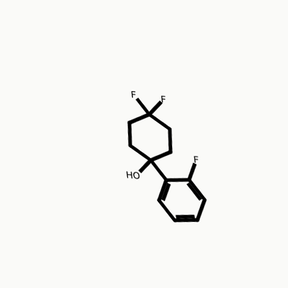 OC1(c2ccccc2F)CCC(F)(F)CC1